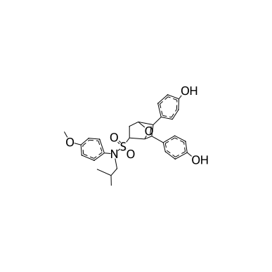 COc1ccc(N(CC(C)C)S(=O)(=O)C2CC3OC2C(c2ccc(O)cc2)=C3c2ccc(O)cc2)cc1